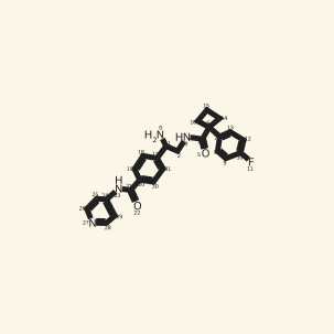 NC(CNC(=O)C1(c2ccc(F)cc2)CCC1)c1ccc(C(=O)Nc2ccncc2)cc1